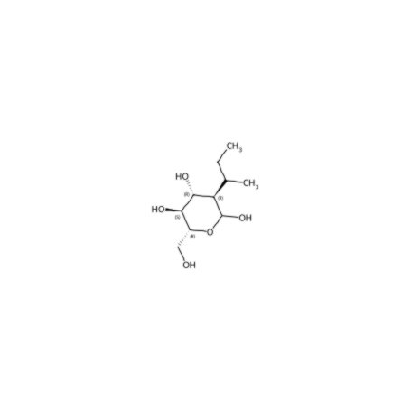 CCC(C)[C@H]1C(O)O[C@H](CO)[C@@H](O)[C@@H]1O